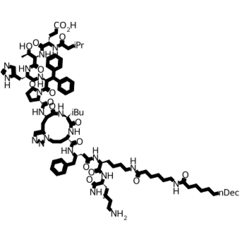 CCCCCCCCCCCCCCCC(=O)NCCCCCC(=O)NCCCC[C@H](NC(=O)C[C@H](Cc1ccccc1)NC(=O)[C@@H]1CCn2nncc2C[C@H](NC(=O)[C@@H]2CCCN2C(=O)[C@@H](NC(=O)[C@H](Cc2cnc[nH]2)NC(=O)[C@@H](NC(=O)[C@H](CCC(=O)O)NC(=O)CC(C)C)[C@@H](C)O)C(c2ccccc2)c2ccccc2)C(=O)N[C@@H]([C@@H](C)CC)C(=O)N1)C(=O)N[C@H](CCCCN)C(N)=O